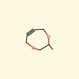 CC1COCC#CCO1